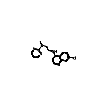 CN(CCNc1ccnc2cc(Cl)ccc12)c1ncccn1